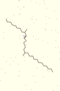 [CH2]CCCCCCCCCCCC(C)CCCC/C=C/C(C)CCCCCCC[CH2]